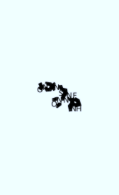 CC(=O)N1CCC2(CC1)CN(Cc1cc3nc(-c4c(F)ccc5[nH]ccc45)nc(N4CCOCC4)c3s1)C2